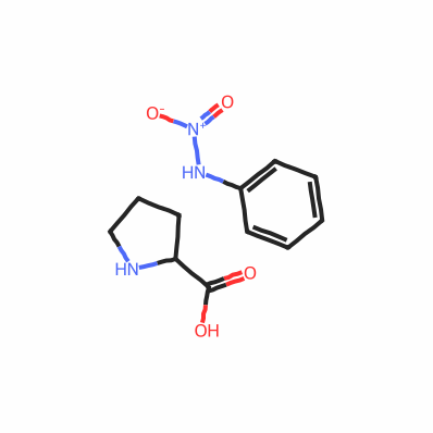 O=C(O)C1CCCN1.O=[N+]([O-])Nc1ccccc1